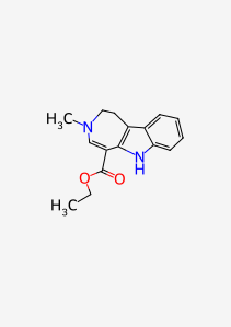 CCOC(=O)C1=CN(C)CCc2c1[nH]c1ccccc21